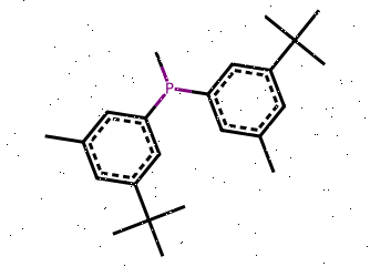 Cc1cc(P(C)c2cc(C)cc(C(C)(C)C)c2)cc(C(C)(C)C)c1